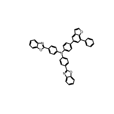 c1ccc(-c2cc(-c3ccc(N(c4ccc(-c5nc6ccccc6o5)cc4)c4ccc(-c5nc6ccccc6o5)cc4)cc3)cc3ccoc23)cc1